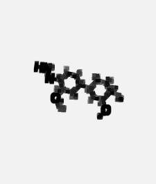 COc1cc(-c2ccc(N=N)c(OC)c2)ccc1C